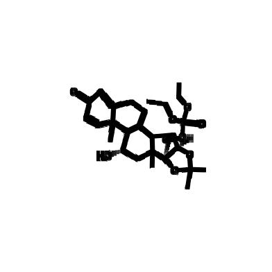 CCOP(=O)(OCC)OC(=O)[C@@]12OC(C)(C)O[C@@H]1CC1C3CCC4=CC(=O)C=CC4(C)C3[C@@H](O)CC12C